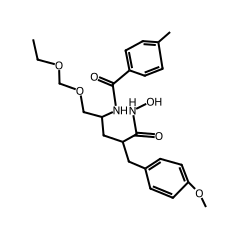 CCOCOCC(CC(Cc1ccc(OC)cc1)C(=O)NO)NC(=O)c1ccc(C)cc1